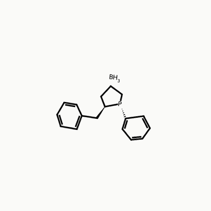 B.c1ccc(C[C@H]2CCC[P@]2c2ccccc2)cc1